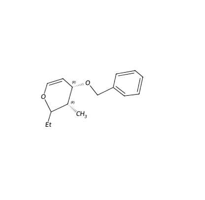 CCC1OC=C[C@H](OCc2ccccc2)[C@@H]1C